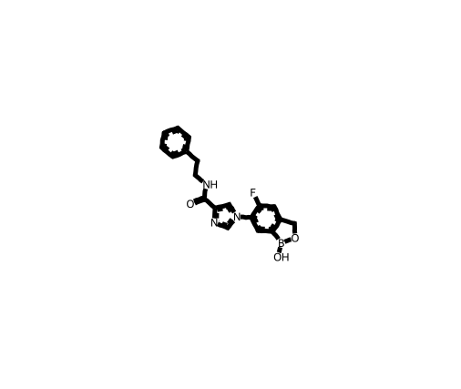 O=C(NCCc1ccccc1)c1cn(-c2cc3c(cc2F)COB3O)cn1